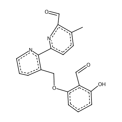 Cc1ccc(-c2ncccc2COc2cccc(O)c2C=O)nc1C=O